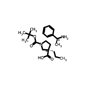 CCC[C@@]1(C(=O)O)CCN(C(=O)OC(C)(C)C)C1.C[C@H](N)c1ccccc1